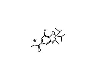 CC(Br)C(=O)c1cc(F)c(O[Si](C(C)C)(C(C)C)C(C)C)c(F)c1